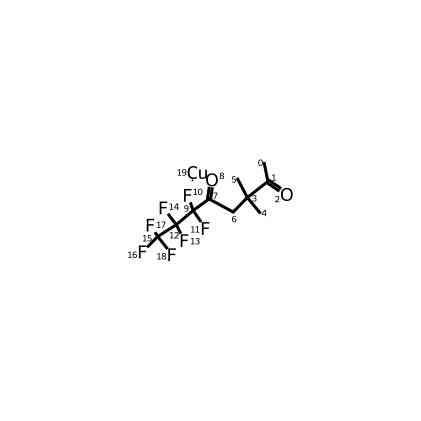 CC(=O)C(C)(C)CC(=O)C(F)(F)C(F)(F)C(F)(F)F.[Cu]